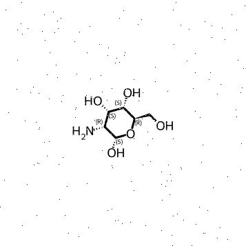 N[C@@H]1[C@H](O)[C@H](O)[C@@H](CO)O[C@@H]1O